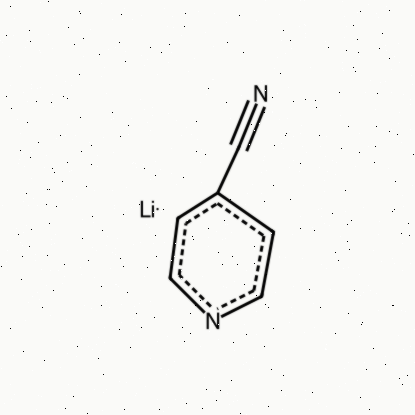 N#Cc1ccncc1.[Li]